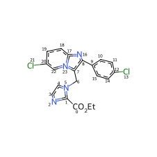 CCOC(=O)c1nccn1Cc1c(-c2ccc(Cl)cc2)nc2ccc(Cl)cn12